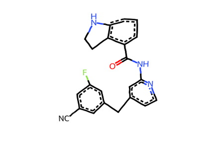 N#Cc1cc(F)cc(Cc2ccnc(NC(=O)c3cccc4c3CCN4)c2)c1